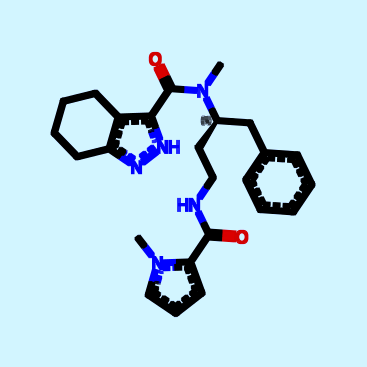 CN(C(=O)c1[nH]nc2c1CCCC2)[C@H](CCNC(=O)c1cccn1C)Cc1ccccc1